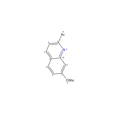 COc1ccc2ccc(C(C)=O)nc2c1